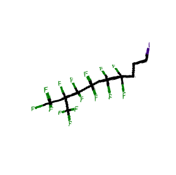 FC(F)(F)C(F)(C(F)(F)F)C(F)(F)C(F)(F)C(F)(F)C(F)(F)[CH]CCI